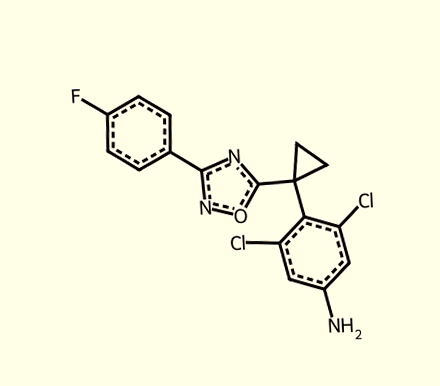 Nc1cc(Cl)c(C2(c3nc(-c4ccc(F)cc4)no3)CC2)c(Cl)c1